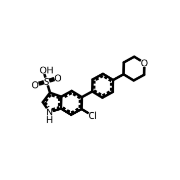 O=S(=O)(O)c1c[nH]c2cc(Cl)c(-c3ccc(C4CCOCC4)cc3)cc12